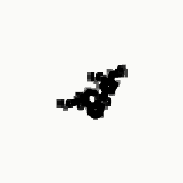 Cc1nc2c(o1)-c1ccccc1N(C(=O)c1ccc(CNCl)c(C)c1)CC2